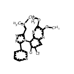 COc1nc2cc(Cl)c(Cl)c(-n3c(CN(C)C)nnc3-c3cccnc3)c2nc1OC